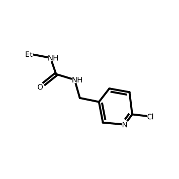 CCNC(=O)NCc1ccc(Cl)nc1